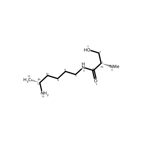 CN[C@@H](CO)C(=O)NCCCC[C@@H](C)N